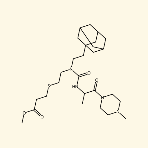 COC(=O)CCSCCN(CCC12CC3CC(CC(C3)C1)C2)C(=O)NC(C)C(=O)N1CCN(C)CC1